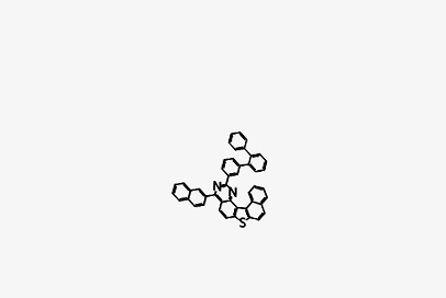 c1ccc(-c2ccccc2-c2cccc(-c3nc(-c4ccc5ccccc5c4)c4ccc5sc6ccc7ccccc7c6c5c4n3)c2)cc1